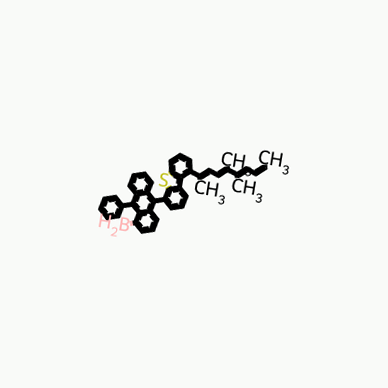 Bc1cccc2c(-c3cccc4c3sc3cccc(/C(C)=C/C=C(C)/C(C)=C/C=C\C)c34)c3ccccc3c(-c3ccccc3)c12